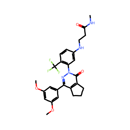 CNC(=O)CCNc1ccc(C(F)(F)F)c(-n2nc(-c3cc(OC)cc(OC)c3)c3c(c2=O)CCC3)c1